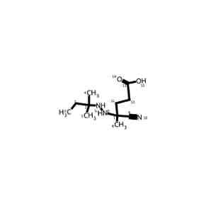 CCC(C)(C)NNC(C)(C#N)CCC(=O)O